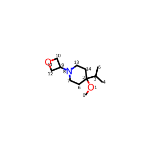 COC1(C(C)C)CCN(C2COC2)CC1